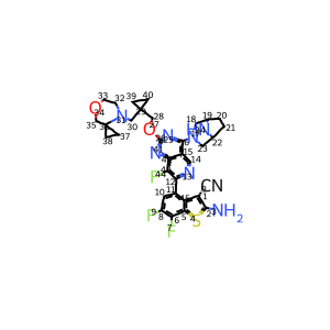 N#Cc1c(N)sc2c(F)c(F)cc(-c3ncc4c(N5CC6CCC(C5)N6)nc(OCC5(CN6CCOCC67CC7)CC5)nc4c3F)c12